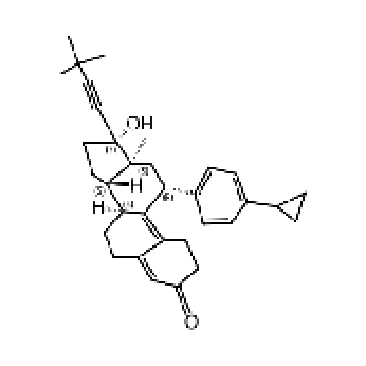 CC(C)(C)C#C[C@]1(O)CC[C@H]2[C@@H]3CCC4=CC(=O)CCC4=C3[C@@H](c3ccc(C4CC4)cc3)C[C@@]21C